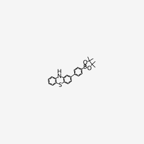 CC1(C)OB(c2ccc(-c3ccc4c(c3)Nc3ccccc3S4)cc2)OC1(C)C